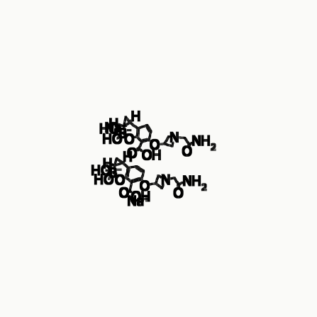 NC(=O)CN1CC(Oc2ccc3c(c2C(=O)O)O[B-](O)(O)[C@@H]2C[C@H]32)C1.NC(=O)CN1CC(Oc2ccc3c(c2C(=O)O)O[B-](O)(O)[C@@H]2C[C@H]32)C1.[Na+].[Na+]